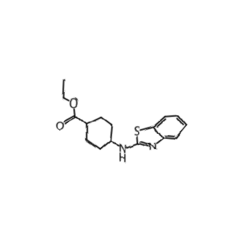 CCOC(=O)C1CCC(Nc2nc3ccccc3s2)CC1